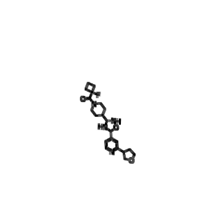 O=C(N1CCC(C2NOC(c3ccnc(C4CCOC4)c3)N2)CC1)C1(F)CCC1